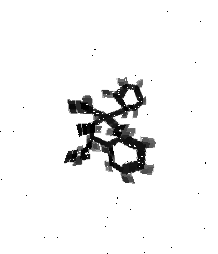 C[C@@H](NC(S)(Cl)c1ccccc1)c1ccccc1